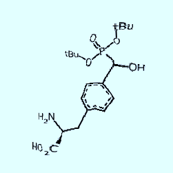 CC(C)(C)OP(=O)(OC(C)(C)C)C(O)c1ccc(C[C@H](N)C(=O)O)cc1